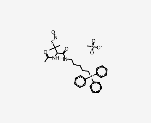 CC(=O)NC(C(=O)NCCCCC[P+](c1ccccc1)(c1ccccc1)c1ccccc1)C(C)(C)SN=O.CS(=O)(=O)[O-]